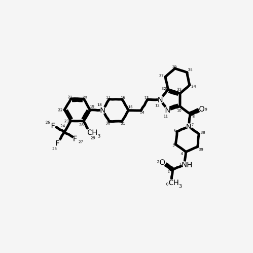 CC(=O)NC1CCN(C(=O)c2nn(CCC3CCN(c4cccc(C(F)(F)F)c4C)CC3)c3c2CCCC3)CC1